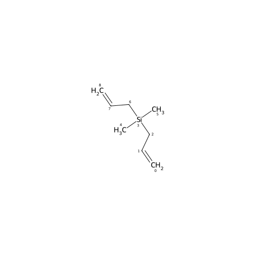 C=CC[Si](C)(C)CC=C